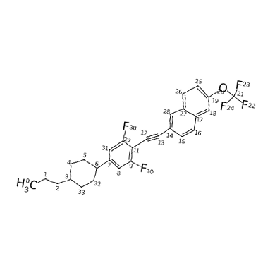 CCCC1CCC(c2cc(F)c(C#Cc3ccc4cc(OC(F)(F)F)ccc4c3)c(F)c2)CC1